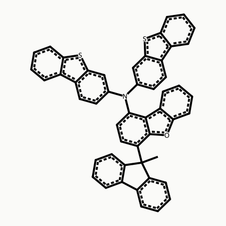 CC1(c2ccc(N(c3ccc4c(c3)sc3ccccc34)c3ccc4c(c3)sc3ccccc34)c3c2oc2ccccc23)c2ccccc2-c2ccccc21